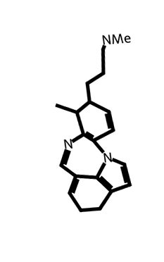 CNCCCC1C=CC2=C(N=CC3=CCCc4ccn2c43)C1C